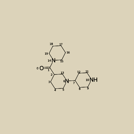 O=C(C1CCCN(C2CCNCC2)C1)N1CCCCC1